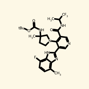 Cc1ccc(F)c2[nH]c(-c3cncc(C(=O)NC(C)C(F)(F)F)c3N3CCC(C)(NC(=O)OC(C)(C)C)C3)nc12